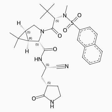 CN([C@H](C(=O)N1C[C@H]2[C@@H]([C@H]1C(=O)N[C@H](C#N)C[C@@H]1CCNC1=O)C2(C)C)C(C)(C)C)S(=O)(=O)c1ccc2ccccc2c1